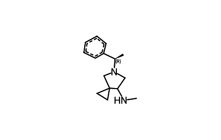 CNC1CN([C@H](C)c2ccccc2)CC12CC2